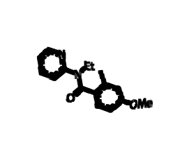 CCN(C(=O)c1ccc(OC)cc1C)c1ccccn1